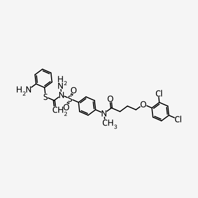 C=C(Sc1ccccc1N)N(N)S(=O)(=O)c1ccc(N(C)C(=O)CCCOc2ccc(Cl)cc2Cl)cc1